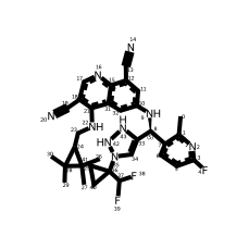 Cc1nc(F)ccc1[C@H](Nc1cc(C#N)c2ncc(C#N)c(NCC3C(C)(C)C3(C)C)c2c1)C1=CN(C2(C(F)F)CC2)NN1